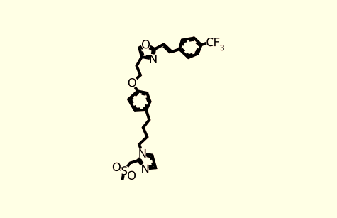 CS(=O)(=O)Cc1nccn1CCCCc1ccc(OCCc2coc(C=Cc3ccc(C(F)(F)F)cc3)n2)cc1